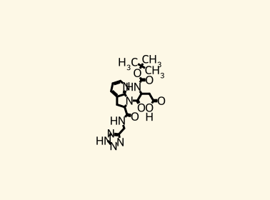 CC(C)(C)OC(=O)NC(CC(=O)O)C(=O)N1c2ncccc2CC1C(=O)NCc1nn[nH]n1